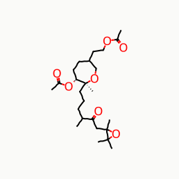 CC(=O)OCCC1CC[C@@H](OC(C)=O)[C@](C)(CCCC(C)C(=O)CC2(C)OC2(C)C)OC1